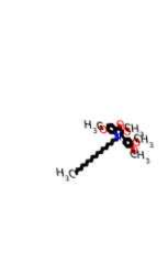 CCCCCCCCCCCCCCCCCCn1c(-c2ccc(OC)c(OC)c2)c(OC)c(=O)c2ccc(OC)cc21